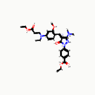 CCOC(=O)CCN(CC)c1ccc(/C=C2\C(=O)N(c3ccc(C(=O)OCC)cc3)N=C2N(C)C)c(OC)c1